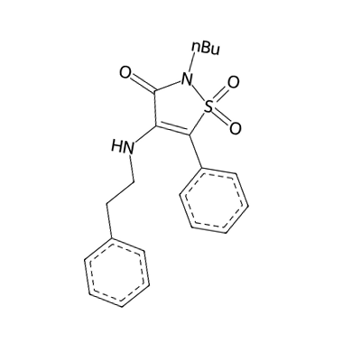 CCCCN1C(=O)C(NCCc2ccccc2)=C(c2ccccc2)S1(=O)=O